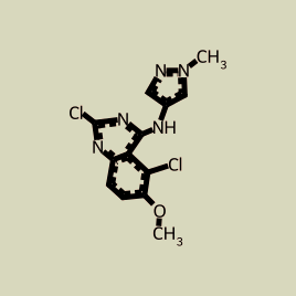 COc1ccc2nc(Cl)nc(Nc3cnn(C)c3)c2c1Cl